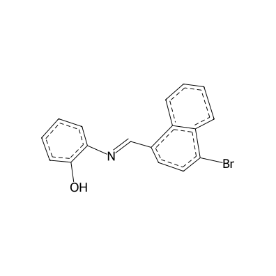 Oc1ccccc1/N=C/c1ccc(Br)c2ccccc12